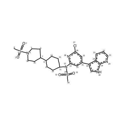 CS(=O)(=O)N1CCC(C2CCC(N(c3cc(-c4c[nH]c5ncccc45)cc(Cl)n3)S(C)(=O)=O)CC2)CC1